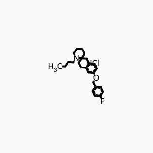 CCCCN1CCCCC12CCc1cc(OCc3ccc(F)cc3)ccc1C2.Cl